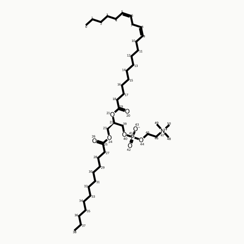 CCCCC/C=C\C/C=C\CCCCCCCCCC(=O)O[C@H](COC(=O)CCCCCCCCCCCC)COP(=O)([O-])OCC[N+](C)(C)C